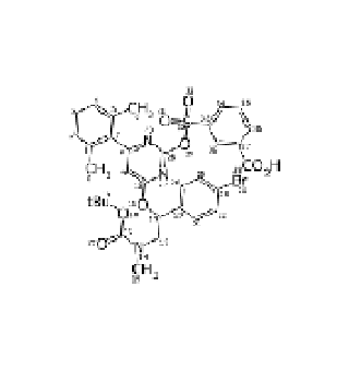 Cc1cccc(C)c1-c1cc(OC(CN(C)C(=O)OC(C)(C)C)c2ccc(Br)cc2)nc(OS(=O)(=O)c2cccc(C(=O)O)c2)n1